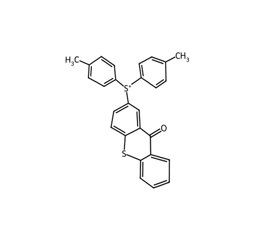 Cc1ccc([S+](c2ccc(C)cc2)c2ccc3sc4ccccc4c(=O)c3c2)cc1